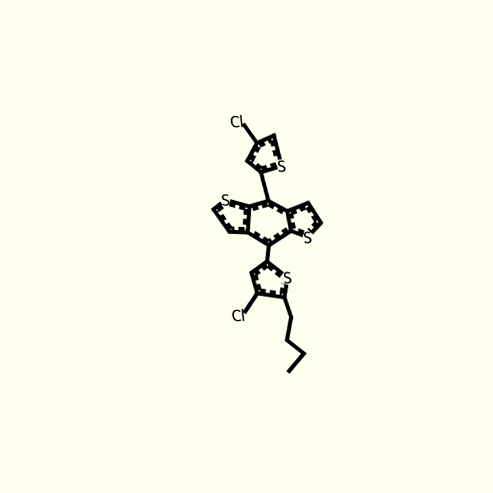 CCCCc1sc(-c2c3ccsc3c(-c3cc(Cl)cs3)c3ccsc23)cc1Cl